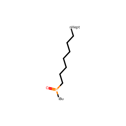 CCCCCCCCCCCCCC[P](=O)C(C)CC